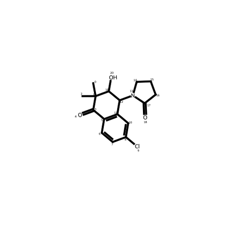 CC1(C)C(=O)c2ccc(Cl)cc2C(N2CCCC2=O)C1O